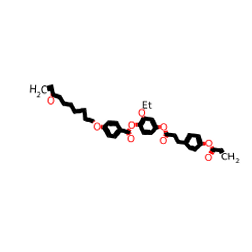 C=CC(=O)CCCCCCCOc1ccc(C(=O)Oc2ccc(OC(=O)CCc3ccc(OC(=O)C=C)cc3)cc2OCC)cc1